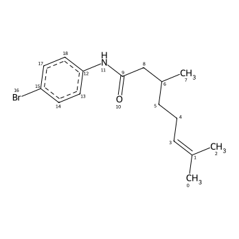 CC(C)=CCCC(C)CC(=O)Nc1ccc(Br)cc1